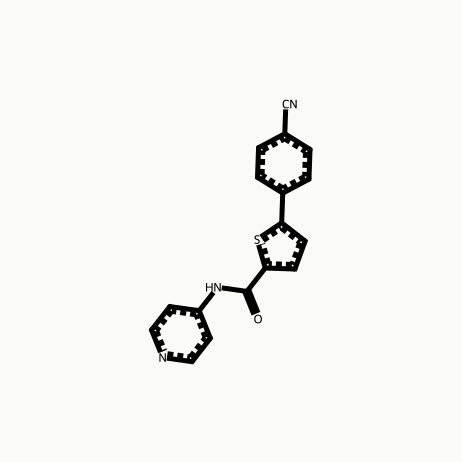 N#Cc1ccc(-c2ccc(C(=O)Nc3ccncc3)s2)cc1